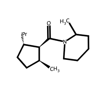 CC(C)[C@H]1CC[C@H](C)[C@@H]1C(=O)N1CCCCC1C